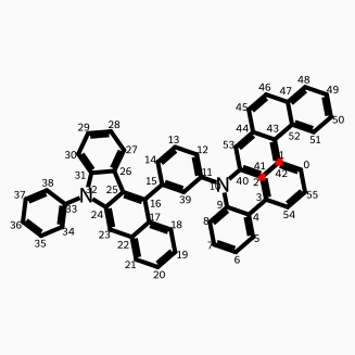 c1ccc(-c2ccccc2N(c2cccc(-c3c4ccccc4cc4c3c3ccccc3n4-c3ccccc3)c2)c2ccc3c(ccc4ccccc43)c2)cc1